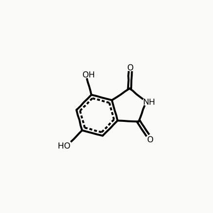 O=C1NC(=O)c2c(O)cc(O)cc21